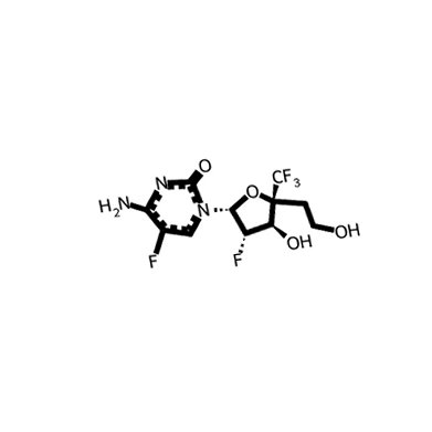 Nc1nc(=O)n([C@@H]2O[C@@](CCO)(C(F)(F)F)[C@@H](O)[C@@H]2F)cc1F